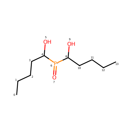 CCCCC(O)[P](=O)C(O)CCCC